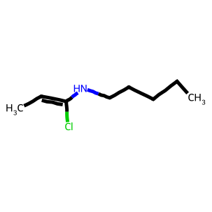 CC=C(Cl)NCCCCC